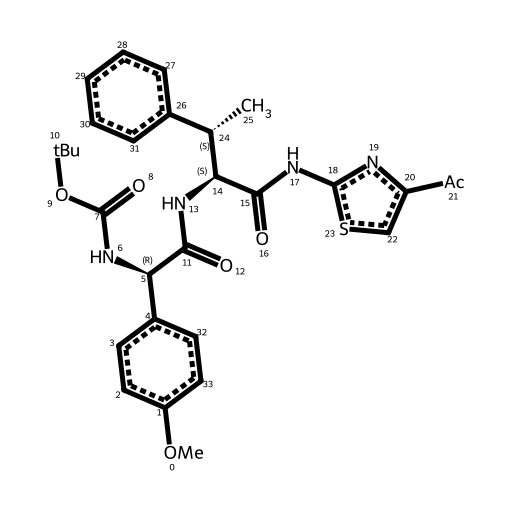 COc1ccc([C@@H](NC(=O)OC(C)(C)C)C(=O)N[C@H](C(=O)Nc2nc(C(C)=O)cs2)[C@@H](C)c2ccccc2)cc1